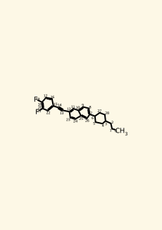 CCCC1CCC(c2ccc3cc(C#Cc4ccc(F)c(F)c4)ccc3c2)CC1